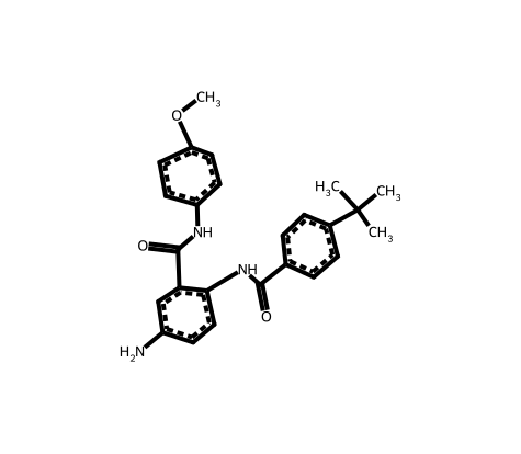 COc1ccc(NC(=O)c2cc(N)ccc2NC(=O)c2ccc(C(C)(C)C)cc2)cc1